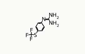 NC(N)=Nc1ccc(SC(F)(F)F)cc1